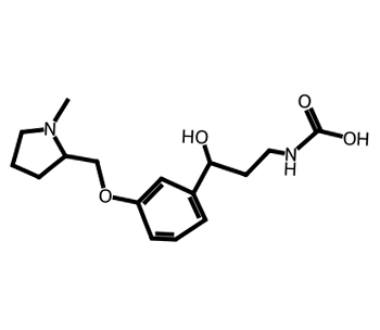 CN1CCCC1COc1cccc(C(O)CCNC(=O)O)c1